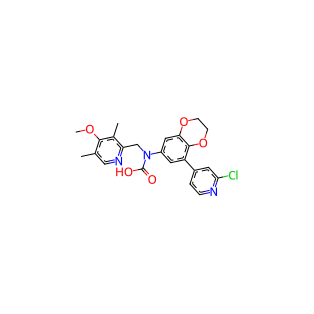 COc1c(C)cnc(CN(C(=O)O)c2cc3c(c(-c4ccnc(Cl)c4)c2)OCCO3)c1C